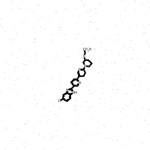 O=C(O)COC1CCCN(C2=NC=C(c3ccc(-c4nc5cc(Cl)ccc5[nH]4)cn3)CC2)C1